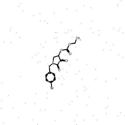 CCOC(=O)OC1CN(Cc2ccc(Br)cc2)C(=O)C1=O